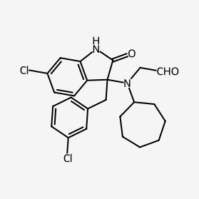 O=CCN(C1CCCCCC1)C1(Cc2cccc(Cl)c2)C(=O)Nc2cc(Cl)ccc21